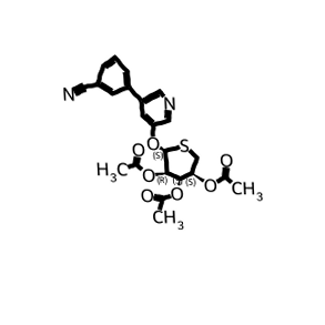 CC(=O)O[C@@H]1[C@@H](OC(C)=O)[C@@H](Oc2cncc(-c3cccc(C#N)c3)c2)SC[C@H]1OC(C)=O